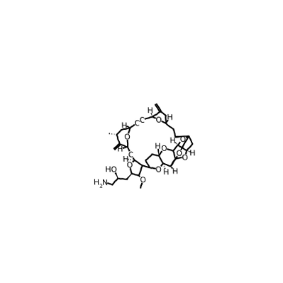 C=C1C[C@@H]2CC[C@@]34C[C@H]5OC6C(O[C@H]7CCC(O[C@@H]7[C@@H]6O3)C3[C@H](C[C@H]6O[C@@H](CC[C@@H]1O2)C[C@@H](C)C6=C)O[C@H](C[C@H](O)CN)[C@@H]3OC)[C@H]5O4